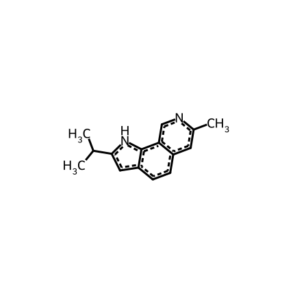 Cc1cc2ccc3cc(C(C)C)[nH]c3c2cn1